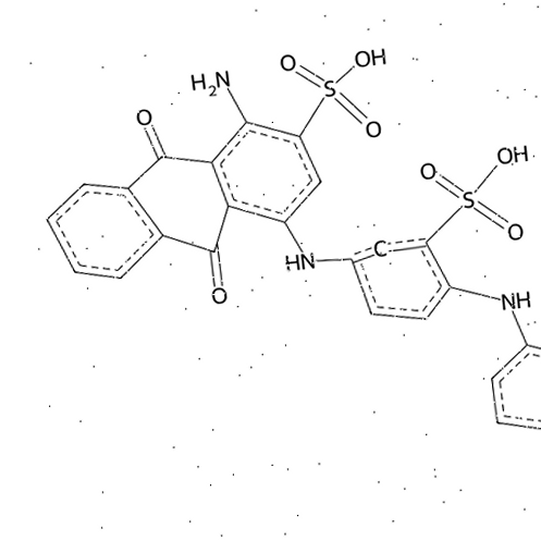 Nc1c(S(=O)(=O)O)cc(Nc2ccc(Nc3ccncc3)c(S(=O)(=O)O)c2)c2c1C(=O)c1ccccc1C2=O